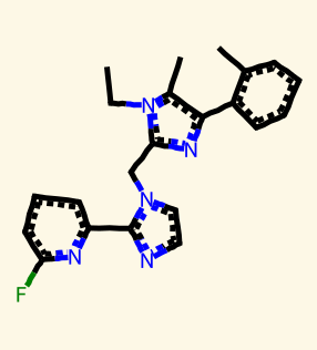 CCn1c(Cn2ccnc2-c2cccc(F)n2)nc(-c2ccccc2C)c1C